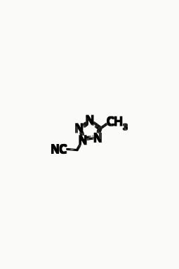 Cc1nnn(CC#N)n1